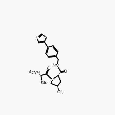 CC(=O)N[C@H](C(=O)N1C[C@H](O)C[C@H]1C(=O)NCc1ccc(-c2cncs2)cc1)C(C)(C)C